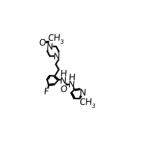 CC(=O)N1CCN(CCCc2ccc(F)cc2NC(=O)Nc2ccc(C)nc2)CC1